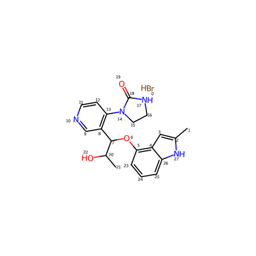 Br.Cc1cc2c(OC(c3cnccc3N3CCNC3=O)C(C)O)cccc2[nH]1